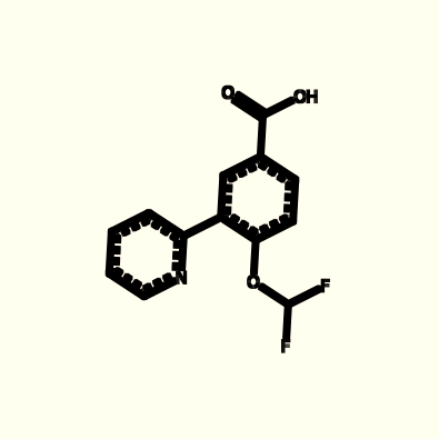 O=C(O)c1ccc(OC(F)F)c(-c2ccccn2)c1